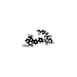 C=CC(=O)N1CC[C@H](C(=O)N(C)C(C(=O)N[C@@H](Cc2cccc(-c3ccc4c(c3)c(CC(C)(C)COC(C)=O)c(-c3cccnc3[C@H](C)OC)n4CF)c2)C(=O)N2CCCCN2)C(C)C)C1